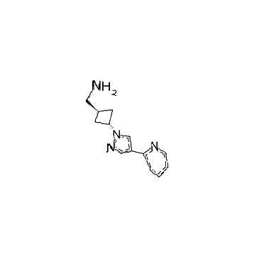 NC[C@H]1C[C@H](n2cc(-c3ccccn3)cn2)C1